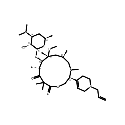 C=CCN1CC=C([C@H]2COC(=O)C(C)(C)C(=O)[C@H](C)[C@@H](O[C@@H]3O[C@H](C)C[C@H](N(C)C)[C@H]3O)[C@](C)(OC)C[C@@H](C)CN2C)CC1